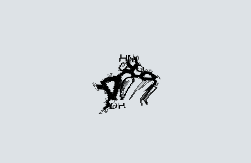 Cc1cc(C(=O)C2C(=O)c3cc(C#N)ccc3OC23CCNCC3)ccc1CC(C)O